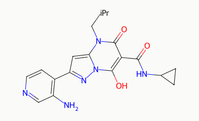 CC(C)Cn1c(=O)c(C(=O)NC2CC2)c(O)n2nc(-c3ccncc3N)cc12